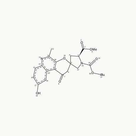 COC(=O)[C@@H]1CC2(CC(=O)c3c(c(C)nc4ccc(O)cc34)O2)CN1C(=O)OC(C)(C)C